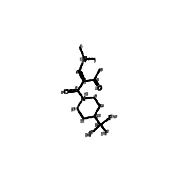 CC(=O)C(=CN(C)C)C(=O)N1CCC(C(F)(F)F)CC1